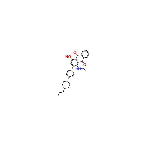 CCC[C@H]1CC[C@H](c2ccc(-c3cc(O)c4c(c3NCC)C(=O)c3ccccc3C4=O)cc2)CC1